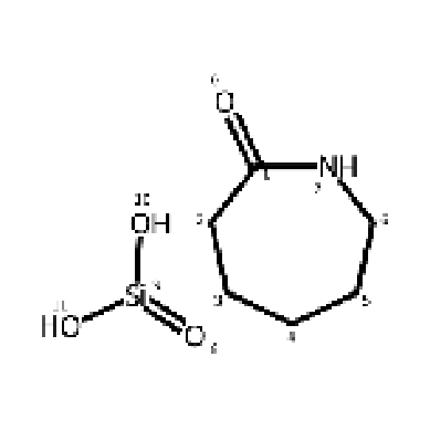 O=C1CCCCCN1.O=[Si](O)O